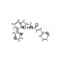 O=C(C=Cc1ccccn1)NCC1Cc2cccc(-c3cnccn3)c2O1